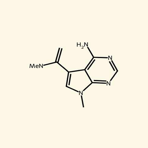 C=C(NC)c1cn(C)c2ncnc(N)c12